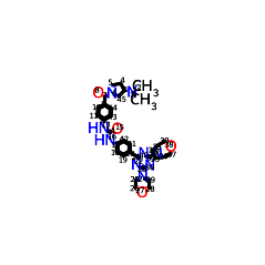 CN(C)[C@H]1CCN(C(=O)c2ccc(NC(=O)Nc3ccc(-c4nc(N5CCOCC5)nc(N5C6CCC5COC6)n4)cc3)cc2)C1